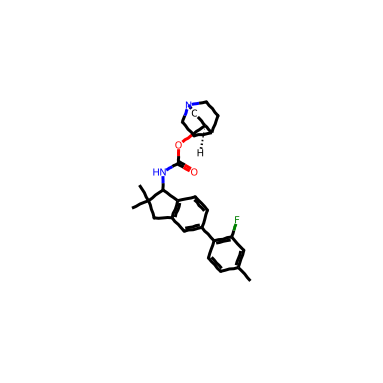 Cc1ccc(-c2ccc3c(c2)CC(C)(C)C3NC(=O)O[C@H]2CN3CCC2CC3)c(F)c1